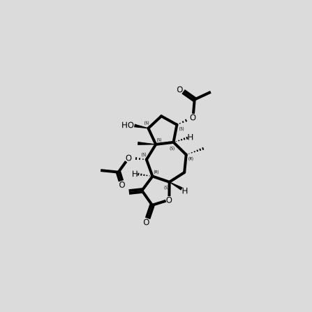 C=C1C(=O)O[C@H]2C[C@@H](C)[C@@H]3[C@@H](OC(C)=O)C[C@H](O)[C@@]3(C)[C@@H](OC(C)=O)[C@H]12